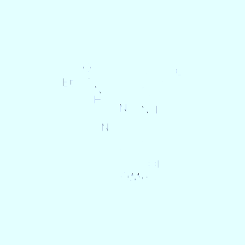 C[CH]C(=O)NCCc1ccc(Cl)cc1Nc1ncnc2cc(OC)c(O)cc12